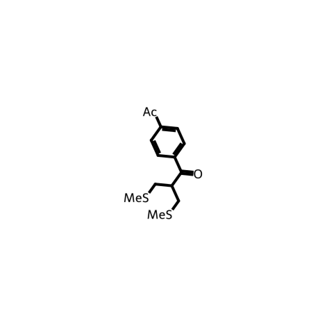 CSCC(CSC)C(=O)c1ccc(C(C)=O)cc1